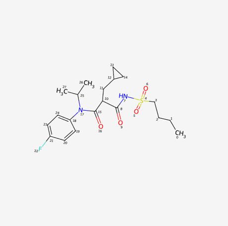 CCCCS(=O)(=O)NC(=O)C(CC1CC1)C(=O)N(c1ccc(F)cc1)C(C)C